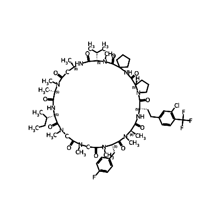 CCC(C)[C@@H]1NC(=O)[C@H](C)N(C)C(=O)C[C@@H](C)NC(=O)[C@H](C(C)C)N(C)C(=O)C2(CCCC2)NC(=O)[C@@H]2CCCN2C(=O)[C@H](CCc2ccc(C(F)(F)F)c(Cl)c2)NC(=O)[C@@H](C)N(C)C(=O)[C@H](Cc2ccc(F)cc2)N(C)C(=O)CN(C)C(=O)CN(C)C1=O